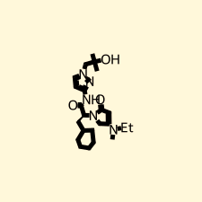 CCN(C)C1=CC(=O)N([C@@H](CC2CCCCC2)C(=O)Nc2ccn(CC(C)(C)O)n2)C1